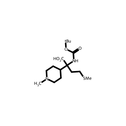 CSCCC(NC(=O)OC(C)(C)C)(C(=O)O)C1CCN(C)CC1